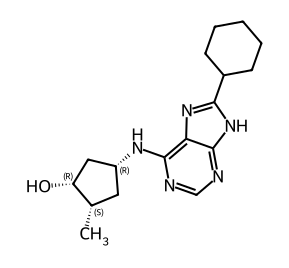 C[C@H]1C[C@@H](Nc2ncnc3[nH]c(C4CCCCC4)nc23)C[C@H]1O